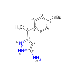 CCCCc1ccc(C(C)c2cc(N)[nH]n2)cc1